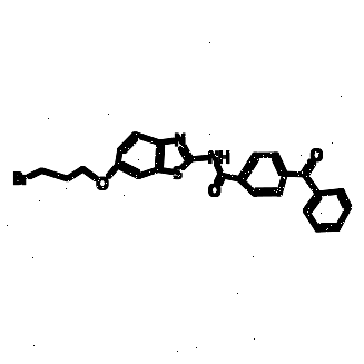 O=C(Nc1nc2ccc(OCCCBr)cc2s1)c1ccc(C(=O)c2ccccc2)cc1